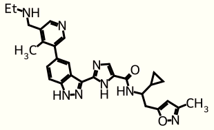 CCNCc1cncc(-c2ccc3[nH]nc(-c4ncc(C(=O)NC(Cc5cc(C)no5)C5CC5)[nH]4)c3c2)c1C